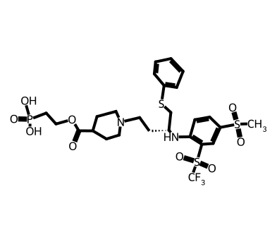 CS(=O)(=O)c1ccc(N[C@H](CCN2CCC(C(=O)OCCP(=O)(O)O)CC2)CSc2ccccc2)c(S(=O)(=O)C(F)(F)F)c1